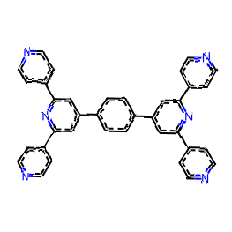 c1cc(-c2cc(-c3ccc(-c4cc(-c5ccncc5)nc(-c5ccncc5)c4)cc3)cc(-c3ccncc3)n2)ccn1